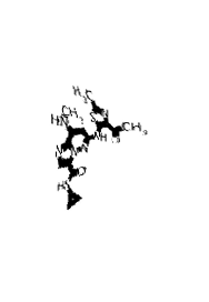 CNc1cc(Nc2sc(C)nc2C(C)=O)nn2c(C(=O)NC3CC3)cnc12